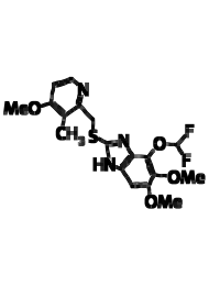 COc1ccnc(CSc2nc3c(OC(F)F)c(OC)c(OC)cc3[nH]2)c1C